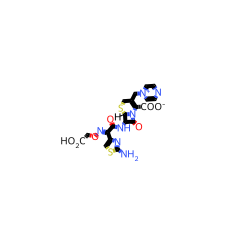 Nc1nc(/C(=N\OCC(=O)O)C(=O)NC2C(=O)N3C(C(=O)[O-])=C(C[n+]4ccncc4)CS[C@H]23)cs1